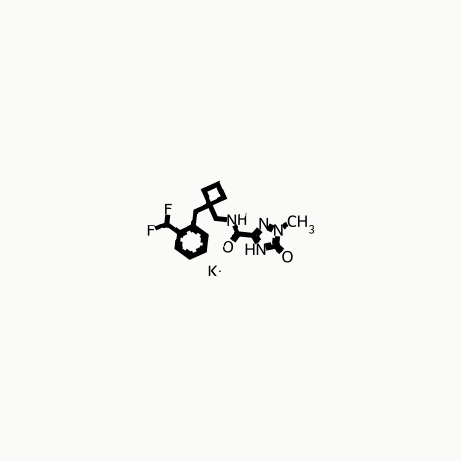 Cn1nc(C(=O)NCC2(Cc3ccccc3C(F)F)CCC2)[nH]c1=O.[K]